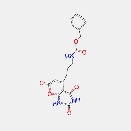 O=C(NCCCc1cc(=O)oc2[nH]c(=O)[nH]c(=O)c12)OCc1ccccc1